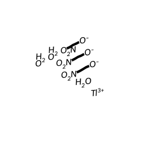 O.O.O.O=[N+]([O-])[O-].O=[N+]([O-])[O-].O=[N+]([O-])[O-].[Tl+3]